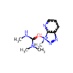 CNC(=[O+][N+]1(C)N=Nc2cccnc21)N(C)C